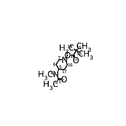 CC(=O)N(C)C1CCN(OC(=O)C(C)(C)C)CC1